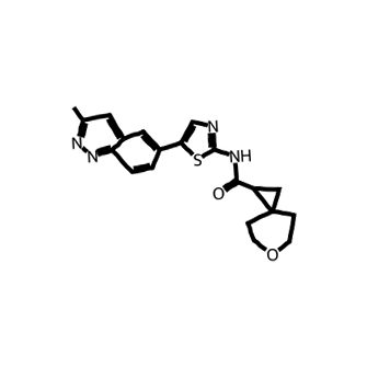 Cc1cc2cc(-c3cnc(NC(=O)C4CC45CCOCC5)s3)ccc2nn1